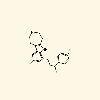 Cc1cc(CCC(C)c2ccc(F)cc2)c2[nH]c3c(c2c1)CCN(C)CC3